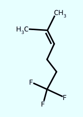 CC(C)=CCCC(F)(F)F